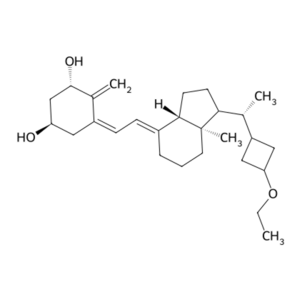 C=C1/C(=C\C=C2/CCC[C@]3(C)C([C@H](C)C4CC(OCC)C4)CC[C@@H]23)C[C@@H](O)C[C@@H]1O